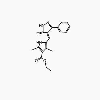 CCOC(=O)c1c(C)[nH]c(C=C2C(=O)NN=C2c2ccccc2)c1C